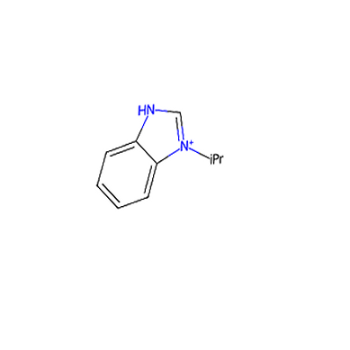 CC(C)[n+]1c[nH]c2ccccc21